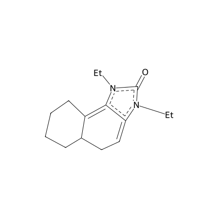 CCn1c2c(n(CC)c1=O)=C1CCCCC1CC=2